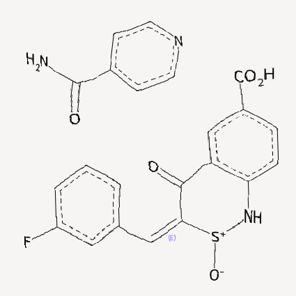 NC(=O)c1ccncc1.O=C(O)c1ccc2c(c1)C(=O)/C(=C\c1cccc(F)c1)[S+]([O-])N2